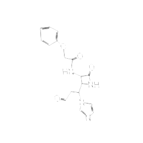 O=CCC(C1NC(=O)C1NC(=O)COc1ccccc1)n1ccnc1